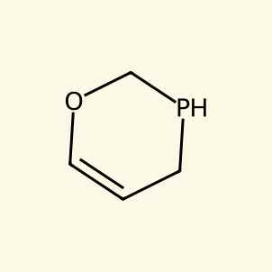 C1=COCPC1